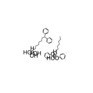 CCCCCCCC[PH](O)(Oc1ccccc1)Oc1ccccc1.O[PH](O)(O)CCCCCCCC(c1ccccc1)c1ccccc1